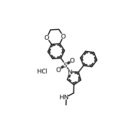 CNCc1cc(-c2ccccc2)n(S(=O)(=O)c2ccc3c(c2)OCCO3)c1.Cl